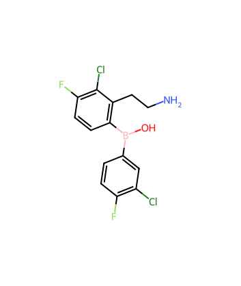 NCCc1c(B(O)c2ccc(F)c(Cl)c2)ccc(F)c1Cl